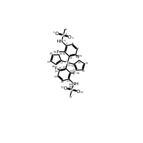 CS(=O)(=O)Nc1ccc(F)[c]([Ti]([C]2=CC=CC2)([C]2=CC=CC2)[c]2c(F)ccc(NS(C)(=O)=O)c2F)c1F